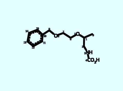 CC(CNC(=O)O)OCCOCc1ccccc1